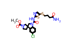 COC(=O)N1CCC2(C1)CN(C(=O)Nc1ncc(SCCCC(N)=O)s1)c1ccc(Cl)cc12